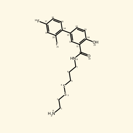 NCCSSCCCNC(=O)c1cc(-c2ccc(F)cc2F)ccc1O